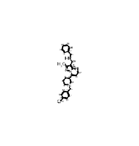 Cc1nn2c(C3CCCN(Cc4ccc(Cl)cc4)C3)ccnc2c1CNCc1ccccc1